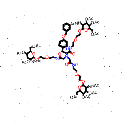 CC(=O)NC1C(OCCOCCNC(=O)CN(CC(=O)NCCOCCOC2OC(COC(C)=O)C(OC(C)=O)CC2(NC(C)=O)OC(C)=O)C(Cc2ccc(OCc3ccccc3)cc2)C(=O)NCCOCCOC2OC(COC(C)=O)C(OC(C)=O)C(OC(C)=O)C2NC(C)=O)OC(COC(C)=O)C(OC(C)=O)C1OC(C)=O